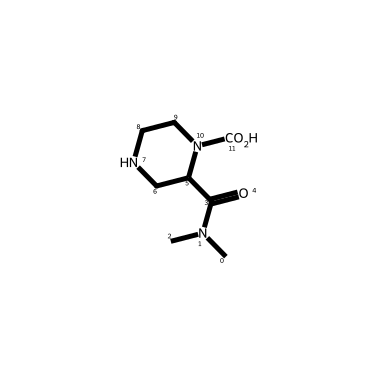 CN(C)C(=O)C1CNCCN1C(=O)O